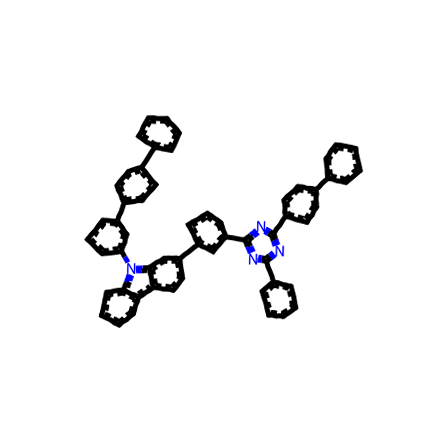 c1ccc(-c2ccc(-c3cccc(-n4c5ccccc5c5ccc(-c6cccc(-c7nc(-c8ccccc8)nc(-c8ccc(-c9ccccc9)cc8)n7)c6)cc54)c3)cc2)cc1